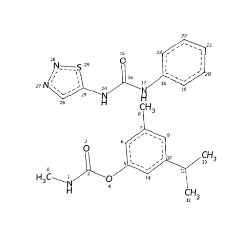 CNC(=O)Oc1cc(C)cc(C(C)C)c1.O=C(Nc1ccccc1)Nc1cnns1